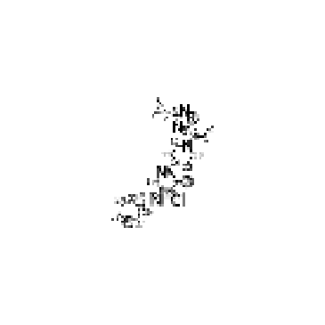 CC[C@H](c1nc(C2CC2)no1)N1CCC(n2ncc(NCC3(F)CCCOC3)c(Cl)c2=O)CC1